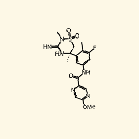 COc1cnc(C(=O)Nc2cc(F)c(C)c([C@]3(C)CS(=O)(=O)N(C)C(=N)N3)c2)cn1